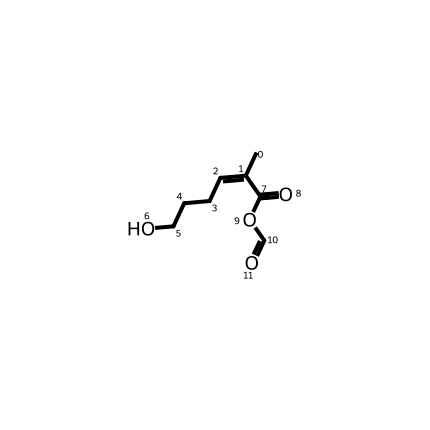 CC(=CCCCO)C(=O)OC=O